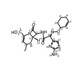 CC1C=C(C(=O)O)N2C(=O)C(NC(=O)C(=NOC3C=CCCC3)c3csc(N)n3)[C@@H]2S1